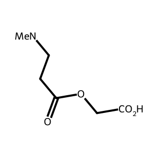 CNCCC(=O)OCC(=O)O